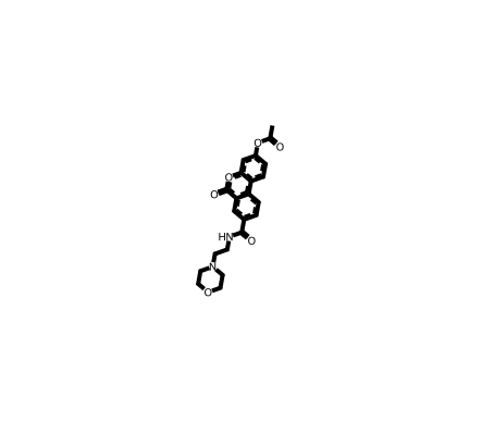 CC(=O)Oc1ccc2c(c1)oc(=O)c1cc(C(=O)NCCN3CCOCC3)ccc12